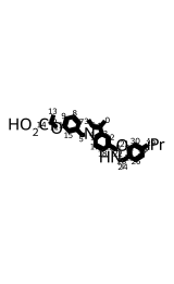 Cc1c(C)n(Cc2cccc(O[C@H](C)C(=O)O)c2)c2ccc(C(=O)N[C@@H](C)c3ccc(C(C)C)cc3)cc12